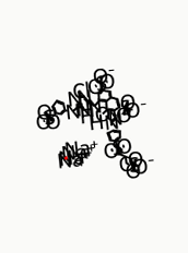 O=S(=O)([O-])OCCS(=O)(=O)c1ccc(N=Nc2c(S(=O)(=O)[O-])cc3cc(S(=O)(=O)[O-])cc(Nc4nc(Cl)nc(Nc5cccc(S(=O)(=O)[O-])c5)n4)c3c2O)cc1.[Na+].[Na+].[Na+].[Na+]